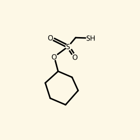 O=S(=O)(CS)OC1CCCCC1